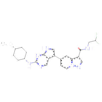 CO[C@H]1CC[C@@H](Nc2ncc3c(-c4ccn5ncc(C(=O)NCC(F)F)c5c4)c[nH]c3n2)CC1